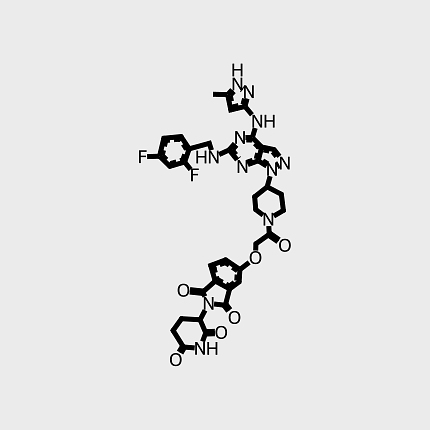 Cc1cc(Nc2nc(NCc3ccc(F)cc3F)nc3c2cnn3C2CCN(C(=O)COc3ccc4c(c3)C(=O)N(C3CCC(=O)NC3=O)C4=O)CC2)n[nH]1